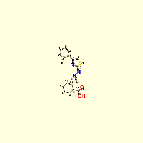 Cc1ccccc1-c1csc(N/N=C/C2=CCCC=C2C(=O)O)n1